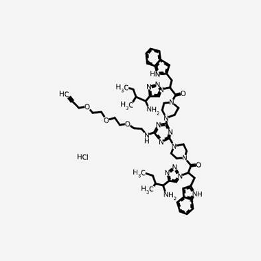 C#CCOCCOCCOCCNc1nc(N2CCN(C(=O)C(Cc3cc4ccccc4[nH]3)n3cc(C(N)C(C)CC)nn3)CC2)nc(N2CCN(C(=O)C(Cc3cc4ccccc4[nH]3)n3cc(C(N)C(C)CC)nn3)CC2)n1.Cl